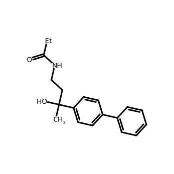 CCC(=O)NCCC(C)(O)c1ccc(-c2ccccc2)cc1